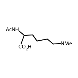 CNCCCCC(NC(C)=O)C(=O)O